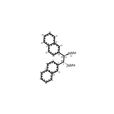 CN[C@H](c1ccc2ccccc2c1)[C@H](NC)c1ccc2ccccc2c1